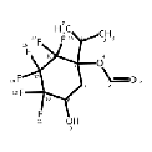 CC(C)C1(O[C]=O)CC(O)C(F)(F)C(F)(F)C1(F)F